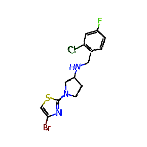 Fc1ccc(CNC2CCN(c3nc(Br)cs3)C2)c(Cl)c1